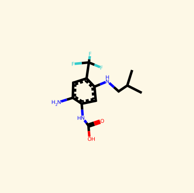 CC(C)CNc1cc(NC(=O)O)c(N)cc1C(F)(F)F